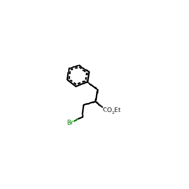 CCOC(=O)C(CCBr)Cc1ccccc1